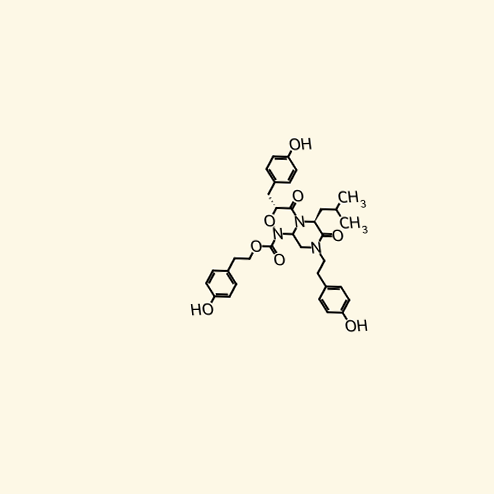 CC(C)C[C@H]1C(=O)N(CCc2ccc(O)cc2)CC2N(C(=O)OCCc3ccc(O)cc3)O[C@H](Cc3ccc(O)cc3)C(=O)N21